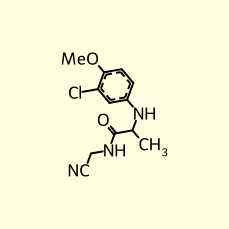 COc1ccc(NC(C)C(=O)NCC#N)cc1Cl